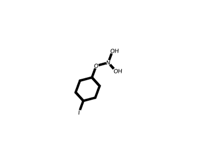 ON(O)OC1CCC(I)CC1